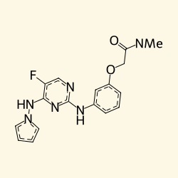 CNC(=O)COc1cccc(Nc2ncc(F)c(Nn3cccc3)n2)c1